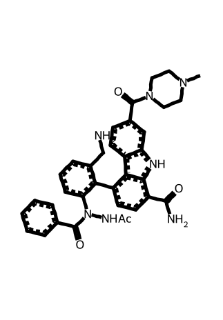 CC(=O)NN(C(=O)c1ccccc1)c1cccc(CN)c1-c1ccc(C(N)=O)c2[nH]c3cc(C(=O)N4CCN(C)CC4)ccc3c12